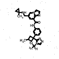 [2H]C([2H])([2H])n1cnnc1C1(c2cccc(NC(=O)c3cc(CNC4(C)CC4)cn4ccnc34)c2)CC(C)C1